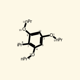 CCCOc1cc(OCCC)c(C(C)C)c(OCCC)c1